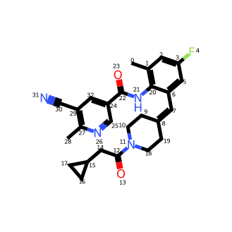 Cc1cc(F)cc(C=C2CCN(C(=O)CC3CC3)CC2)c1NC(=O)c1cnc(C)c(C#N)c1